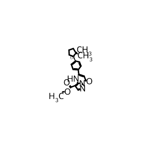 CCOC(=O)c1cnn2c(=O)cc(-c3ccc([C@H]4CCCC4(C)C)cc3)[nH]c12